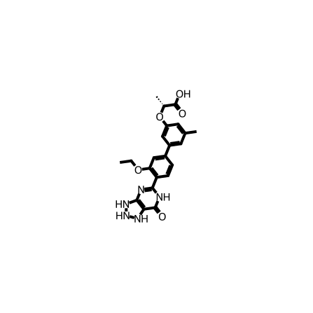 CCOc1cc(-c2cc(C)cc(O[C@H](C)C(=O)O)c2)ccc1-c1nc2c(c(=O)[nH]1)NNN2